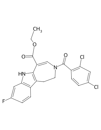 CCOC(=O)C1=CN(C(=O)c2ccc(Cl)cc2Cl)CCc2c1[nH]c1cc(F)ccc21